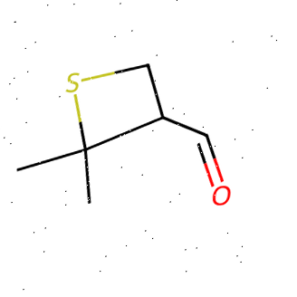 CC1(C)SCC1C=O